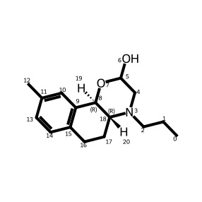 CCCN1CC(O)O[C@@H]2c3cc(C)ccc3CC[C@H]21